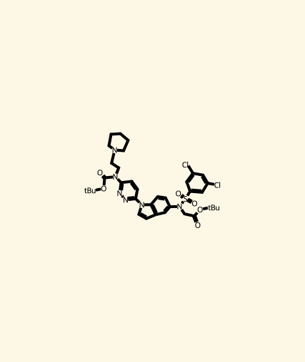 CC(C)(C)OC(=O)CN(c1ccc2c(ccn2-c2ccc(N(CCN3CCCCC3)C(=O)OC(C)(C)C)nn2)c1)S(=O)(=O)c1cc(Cl)cc(Cl)c1